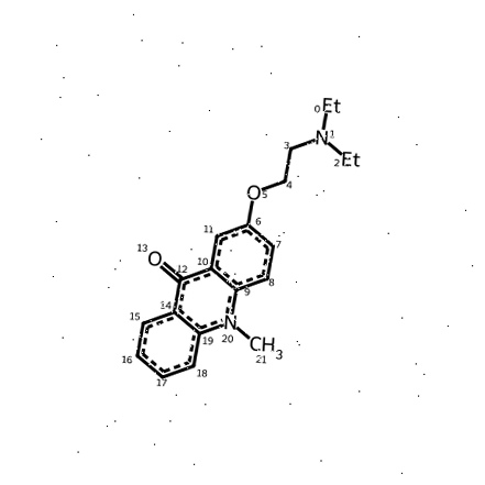 CCN(CC)CCOc1ccc2c(c1)c(=O)c1ccccc1n2C